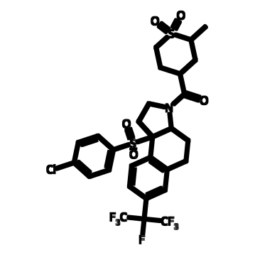 CC1CC(C(=O)N2CCC3(S(=O)(=O)c4ccc(Cl)cc4)c4ccc(C(F)(C(F)(F)F)C(F)(F)F)cc4CCC23)CCS1(=O)=O